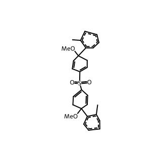 COC1(c2ccccc2C)C=CC(S(=O)(=O)C2=CCC(OC)(c3ccccc3C)C=C2)=CC1